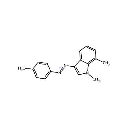 Cc1ccc(/N=N/c2cn(C)c3c(C)cccc23)cc1